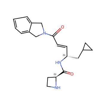 O=C(N[C@H](C=CC(=O)N1Cc2ccccc2C1)CC1CC1)[C@@H]1CCN1